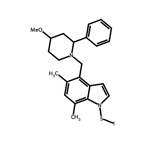 COC1CCN(Cc2c(C)cc(C)c3c2ccn3SI)C(c2ccccc2)C1